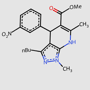 CCCCc1nn(C)c2c1C(c1cccc([N+](=O)[O-])c1)C(C(=O)OC)=C(C)N2